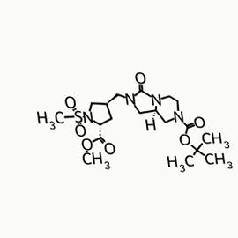 COC(=O)[C@H]1C[C@H](CN2C[C@@H]3CN(C(=O)OC(C)(C)C)CCN3C2=O)CN1S(C)(=O)=O